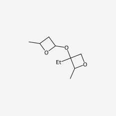 CCC1(OC2CC(C)O2)COC1C